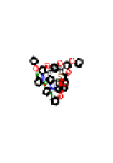 Fc1cccc(F)c1N1c2cc3c(cc2B2c4cc5c(cc4Oc4cc(Oc6ccccc6)cc1c42)Oc1cc(Oc2ccccc2)cc2c1B5c1sc4ccccc4c1O2)B1c2sc4ccccc4c2Oc2cc(Oc4ccccc4)cc(c21)N3c1c(F)cccc1F